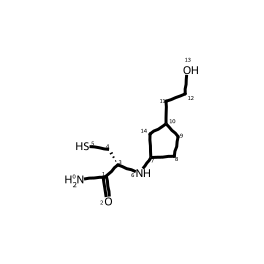 NC(=O)[C@H](CS)NC1CCC(CCO)C1